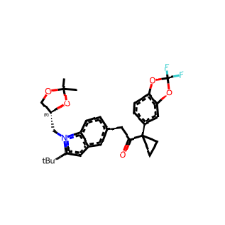 CC1(C)OC[C@@H](Cn2c(C(C)(C)C)cc3cc(CC(=O)C4(c5ccc6c(c5)OC(F)(F)O6)CC4)ccc32)O1